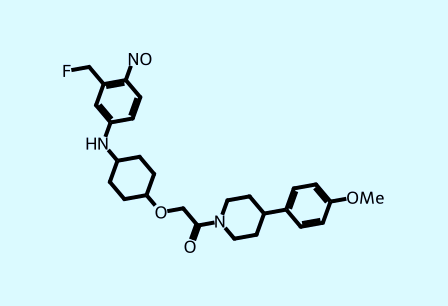 COc1ccc(C2CCN(C(=O)COC3CCC(Nc4ccc(N=O)c(CF)c4)CC3)CC2)cc1